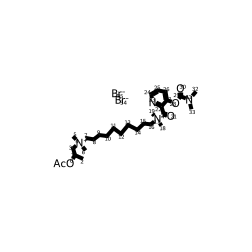 CC(=O)OC(C)C[N+](C)(C)CCCCCCCCCC[N+](C)(C)C(=O)c1ncccc1OC(=O)N(C)C.[Br-].[Br-]